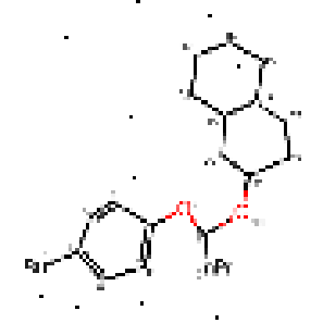 CCCC(Oc1ccc(C(C)CC)cc1)OC1CCC2CCCCC2C1